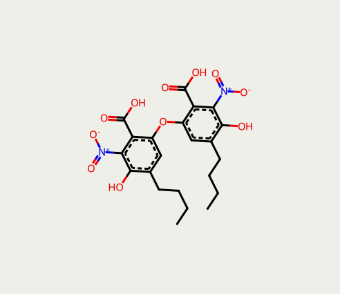 CCCCc1cc(Oc2cc(CCCC)c(O)c([N+](=O)[O-])c2C(=O)O)c(C(=O)O)c([N+](=O)[O-])c1O